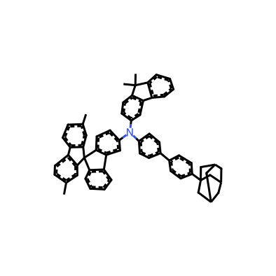 Cc1ccc2c(c1)C1(c3ccccc3-c3cc(N(c4ccc(-c5ccc(C67CC8CC(CC(C8)C6)C7)cc5)cc4)c4ccc5c(c4)-c4ccccc4C5(C)C)ccc31)c1cc(C)ccc1-2